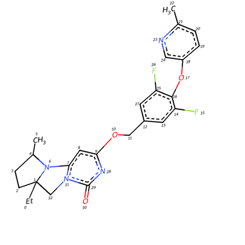 CCC12CCC(C)N1c1cc(OCc3cc(F)c(Oc4ccc(C)nc4)c(F)c3)nc(=O)n1C2